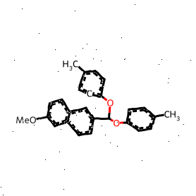 COc1ccc2cc(C(Oc3ccc(C)cc3)Oc3ccc(C)cc3)ccc2c1